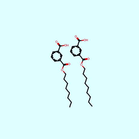 CCCCCCCCCOC(=O)c1cccc(C(=O)O)c1.CCCCCCCCOC(=O)c1cccc(C(=O)O)c1